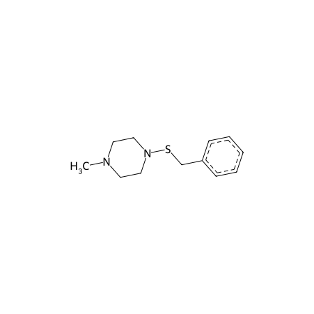 CN1CCN(SCc2ccccc2)CC1